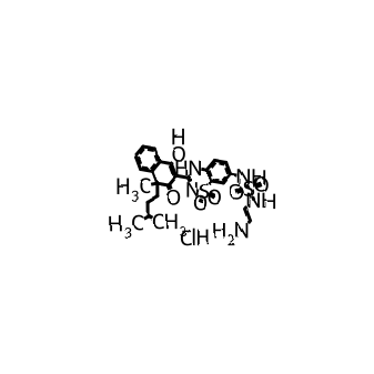 CC(C)CCC1(C)C(=O)C(C2=NS(=O)(=O)c3cc(NS(=O)(=O)NCCN)ccc3N2)=C(O)c2ccccc21.Cl